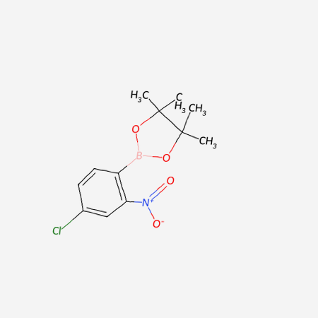 CC1(C)OB(c2ccc(Cl)cc2[N+](=O)[O-])OC1(C)C